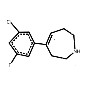 Fc1cc(Cl)cc(C2=CCCNCC2)c1